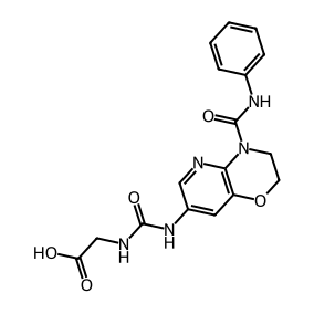 O=C(O)CNC(=O)Nc1cnc2c(c1)OCCN2C(=O)Nc1ccccc1